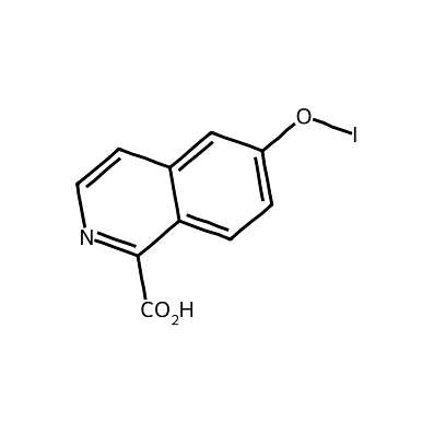 O=C(O)c1nccc2cc(OI)ccc12